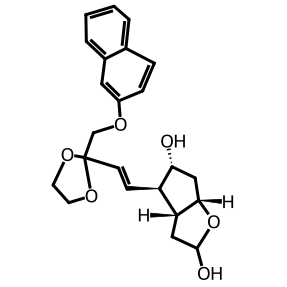 OC1C[C@@H]2[C@@H](/C=C/C3(COc4ccc5ccccc5c4)OCCO3)[C@H](O)C[C@@H]2O1